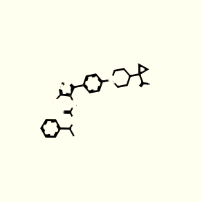 CC(OC(=O)Nc1c(F)noc1-c1ccc(N2CCC(C3(C(=O)O)CC3)CC2)cc1)c1ccccc1